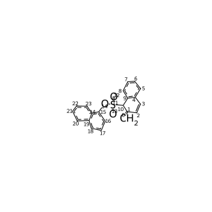 C=C1C=Cc2ccccc2C1S(=O)(=O)Oc1cccc2ccccc12